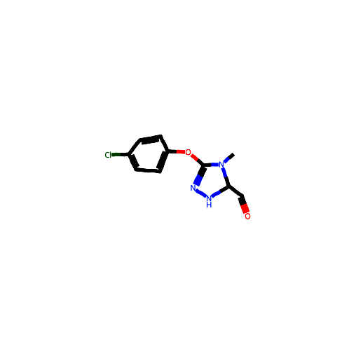 CN1C(Oc2ccc(Cl)cc2)=NNC1C=O